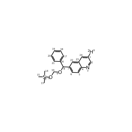 [2H]c1cnc2ccc(C(OCO[Si](C)(C)C)c3ccccc3)cc2c1